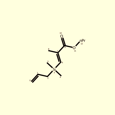 C=CC[Si](C)(C)C=C(C)C(=O)OCCC